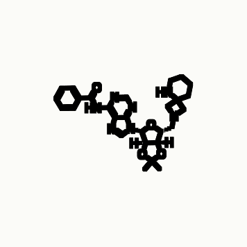 CC1(C)O[C@@H]2[C@H](O1)[C@@H](CN1CC3(CCCCN3)C1)O[C@H]2n1cnc2c(NC(=O)c3ccccc3)ncnc21